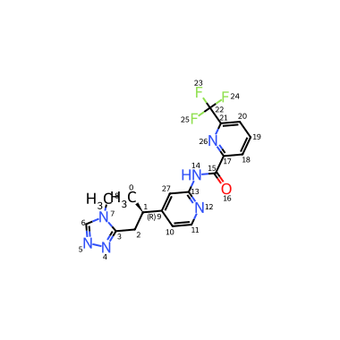 C[C@H](Cc1nncn1C)c1ccnc(NC(=O)c2cccc(C(F)(F)F)n2)c1